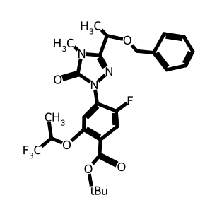 CC(OCc1ccccc1)c1nn(-c2cc(OC(C)C(F)(F)F)c(C(=O)OC(C)(C)C)cc2F)c(=O)n1C